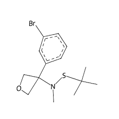 CN(SC(C)(C)C)C1(c2cccc(Br)c2)COC1